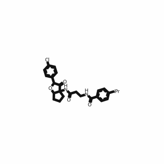 CC(C)c1ccc(C(=O)NCCC(=O)NC23CCCC2OC(c2ccc(Cl)cc2)C3=O)cc1